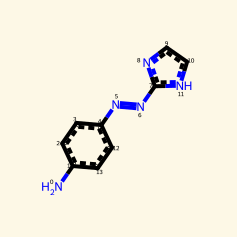 Nc1ccc(/N=N/c2ncc[nH]2)cc1